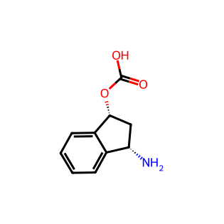 N[C@H]1C[C@@H](OC(=O)O)c2ccccc21